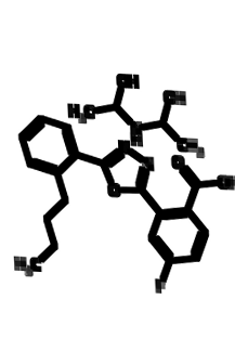 CC(O)NC(C)O.CCCCc1ccccc1-c1nnc(-c2cc(F)ccc2C(=O)O)o1